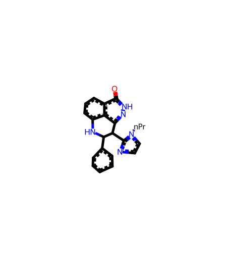 CCCn1ccnc1C1c2n[nH]c(=O)c3cccc(c23)NC1c1ccccc1